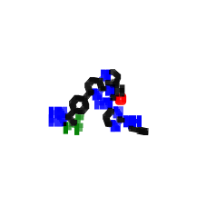 C#CCNc1nccc(NC(=O)N2c3nc(-c4ccc(C5(C(F)(F)F)NN5)cc4)ccc3N3CC[C@H]2C3)n1